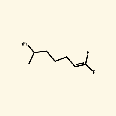 CCCC(C)CCCC=C(F)F